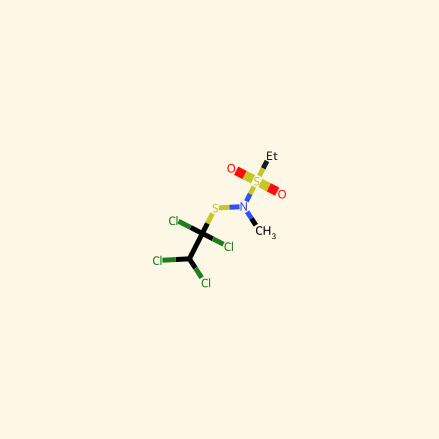 CCS(=O)(=O)N(C)SC(Cl)(Cl)C(Cl)Cl